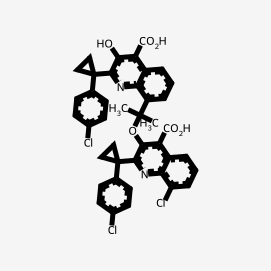 CC(C)(Oc1c(C2(c3ccc(Cl)cc3)CC2)nc2c(Cl)cccc2c1C(=O)O)c1cccc2c(C(=O)O)c(O)c(C3(c4ccc(Cl)cc4)CC3)nc12